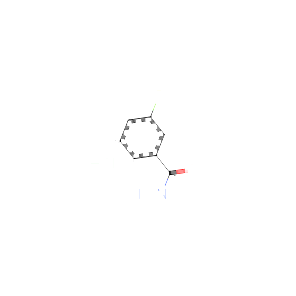 Cl.NC(=O)c1cccc(F)c1